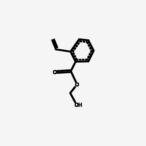 C=Cc1ccccc1C(=O)OCO